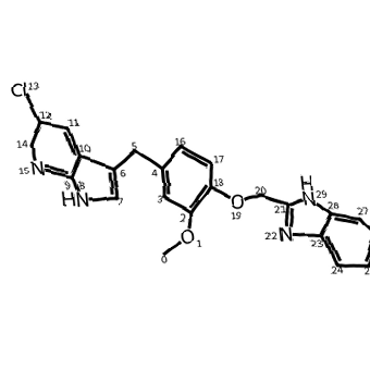 COc1cc(Cc2c[nH]c3c2=CC(Cl)CN=3)ccc1OCc1nc2ccccc2[nH]1